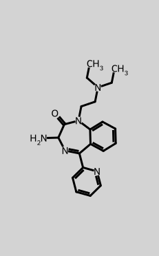 CCN(CC)CCN1C(=O)C(N)N=C(c2ccccn2)c2ccccc21